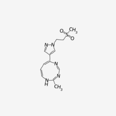 Cc1ncnc(-c2cnn(CCS(C)(=O)=O)c2)ccc[nH]1